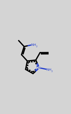 C=Cc1c(/C=C(/C)N)ccn1N